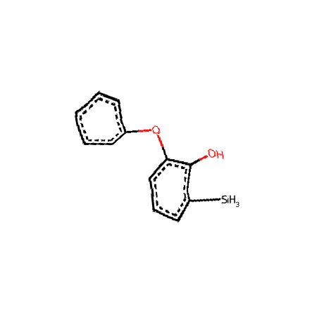 Oc1c([SiH3])cccc1Oc1ccccc1